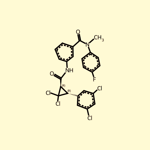 CN(C(=O)c1cccc(NC(=O)[C@H]2[C@H](c3cc(Cl)cc(Cl)c3)C2(Cl)Cl)c1)c1ccc(F)cc1